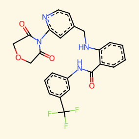 O=C(Nc1cccc(C(F)(F)F)c1)c1ccccc1NCc1ccnc(N2C(=O)COCC2=O)c1